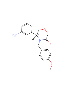 COc1ccc(CN2C(=O)COC[C@@]2(C)c2cccc(N)c2)cc1